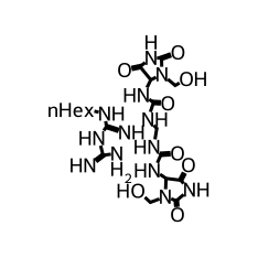 CCCCCCNC(=N)NC(=N)N.O=C(NCNC(=O)NC1C(=O)NC(=O)N1CO)NC1C(=O)NC(=O)N1CO